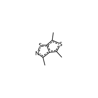 Cc1sc(C)c2c(C)nsc12